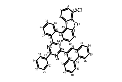 Clc1cccc2c1oc1cccc(-c3ccccc3-c3nc(-c4ccccc4)nc(-c4cc5ccccc5c5ccccc45)n3)c12